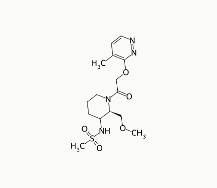 COC[C@H]1C(NS(C)(=O)=O)CCCN1C(=O)COc1nnccc1C